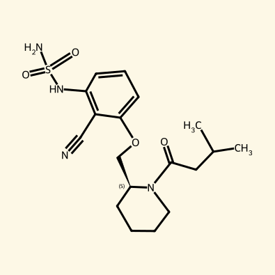 CC(C)CC(=O)N1CCCC[C@H]1COc1cccc(NS(N)(=O)=O)c1C#N